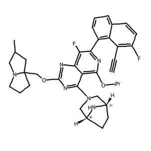 C#Cc1c(F)ccc2cccc(-c3nc(OC(C)C)c4c(N5C[C@H]6CC[C@@H](C5)N6)nc(OCC56CCCN5CC(C)C6)nc4c3F)c12